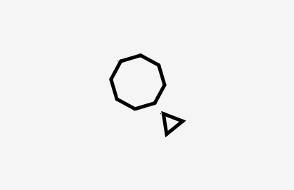 [CH]1CC1.[CH]1CCCCCCC1